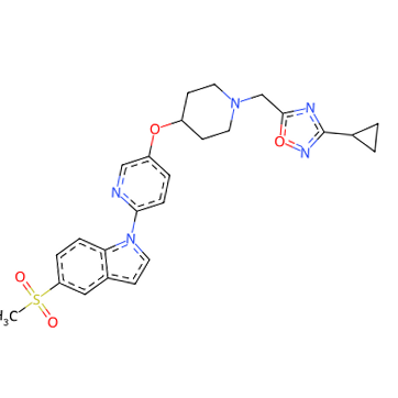 CS(=O)(=O)c1ccc2c(ccn2-c2ccc(OC3CCN(Cc4nc(C5CC5)no4)CC3)cn2)c1